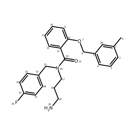 Cc1cccc(COc2ccccc2C(=O)N(CCCN)Cc2ccc(F)cc2)c1